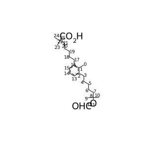 Cc1c(CCCCCC(C)(C)OC=O)cccc1CCCCCC(C)(C)C(=O)O